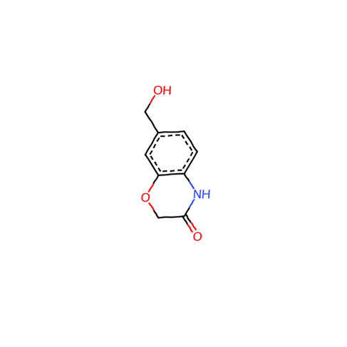 O=C1COc2cc(CO)ccc2N1